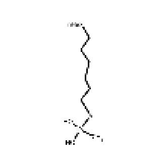 CCCCCCCCCCCCS[PH](C)(O)O